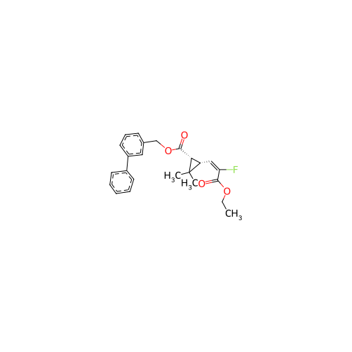 CCOC(=O)/C(F)=C\[C@H]1[C@@H](C(=O)OCc2cccc(-c3ccccc3)c2)C1(C)C